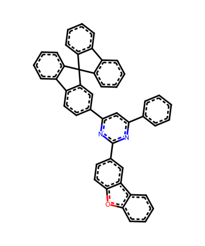 c1ccc(-c2cc(-c3ccc4c(c3)C3(c5ccccc5-c5ccccc53)c3ccccc3-4)nc(-c3ccc4oc5ccccc5c4c3)n2)cc1